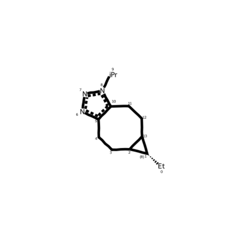 CC[C@@H]1C2CCc3nnn(C(C)C)c3CCC21